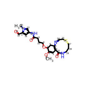 COC1=CC2=C(CC1OCCCC(=O)Nc1cc(C=O)n(C)c1)/N=C\CSCCCNC2=O